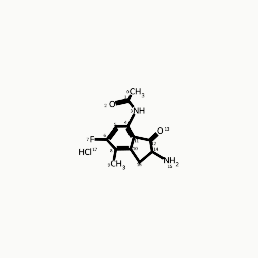 CC(=O)Nc1cc(F)c(C)c2c1C(=O)C(N)C2.Cl